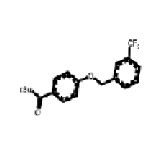 CC(C)(C)C(=O)c1ccc(OCc2cccc(C(F)(F)F)c2)cc1